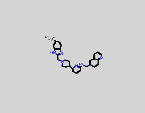 O=C(O)c1ccc2nc(CN3CCC(c4cccc(NCc5ccc6ncccc6c5)n4)CC3)[nH]c2c1